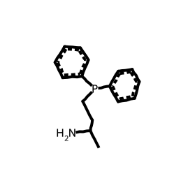 CC(N)CCP(c1ccccc1)c1ccccc1